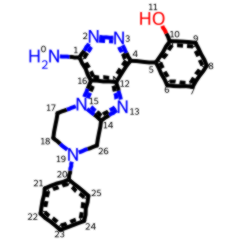 Nc1nnc(-c2ccccc2O)c2nc3n(c12)CCN(c1ccccc1)C3